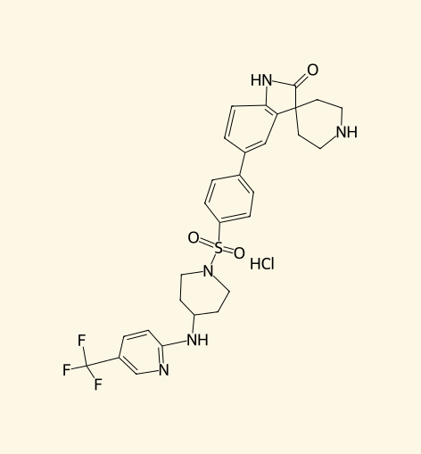 Cl.O=C1Nc2ccc(-c3ccc(S(=O)(=O)N4CCC(Nc5ccc(C(F)(F)F)cn5)CC4)cc3)cc2C12CCNCC2